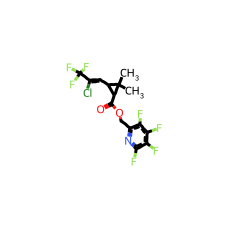 CC1(C)C(C=C(Cl)C(F)(F)F)C1C(=O)OCc1nc(F)c(F)c(F)c1F